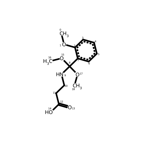 COc1ccccc1C(NCCC(=O)O)(OC)OC